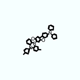 Cc1ccc(N2c3ccc(C)cc3B3c4cc5oc6cc(N(c7ccccc7)c7ccccc7)ccc6c5cc4Oc4cccc2c43)cc1